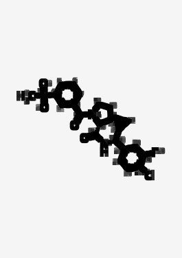 CS(=O)(=O)c1cccc(C(=O)N2CCC[C@@H]2C(=O)N[C@H](C2=CC2)c2ccc(Cl)c(F)c2)c1